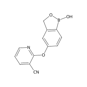 N#Cc1cccnc1Oc1ccc2c(c1)COB2O